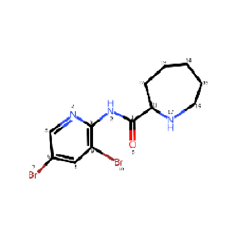 O=C(Nc1ncc(Br)cc1Br)C1CCCCCN1